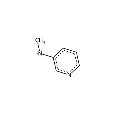 C[N]c1cccnc1